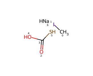 CI.O=C(O)S.[NaH]